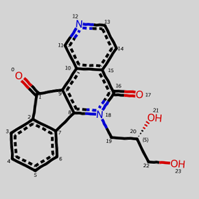 O=C1c2ccccc2-c2c1c1cnccc1c(=O)n2C[C@H](O)CO